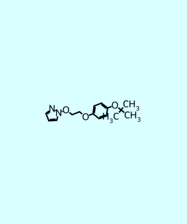 CC(C)(C)Oc1ccc(OCCOn2cccn2)cc1